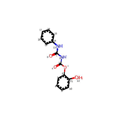 O=C(NC(=O)Oc1ccccc1O)Nc1ccccc1